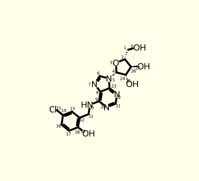 OC[C@H]1O[C@@H](n2cnc3c(NCc4cc(Cl)ccc4O)ncnc32)[C@@H](O)[C@@H]1O